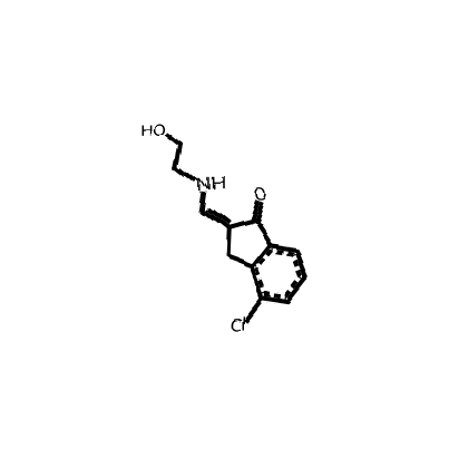 O=C1C(=CNCCO)Cc2c(Cl)cccc21